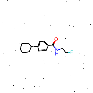 O=C(NCCF)c1ccc(C2CCCCC2)cc1